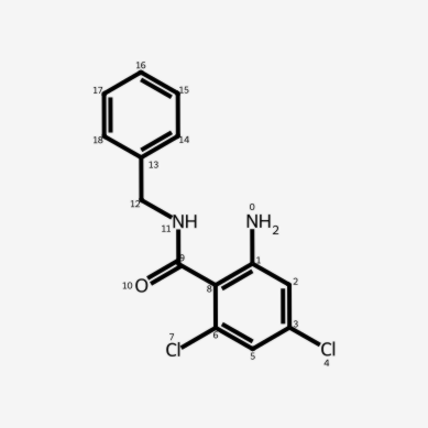 Nc1cc(Cl)cc(Cl)c1C(=O)NCc1ccccc1